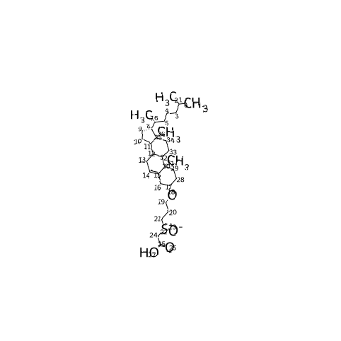 CC(C)CCC[C@@H](C)[C@H]1CCC2C3CC=C4C[C@@H](OCCC[S+]([O-])CC(=O)O)CC[C@]4(C)C3CC[C@@]21C